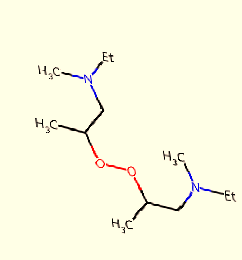 CCN(C)CC(C)OOC(C)CN(C)CC